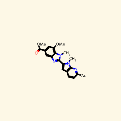 COC(=O)c1cc(OC)c2c(c1)nc(-c1cc3ccc(C(C)=O)nc3n1C)n2C